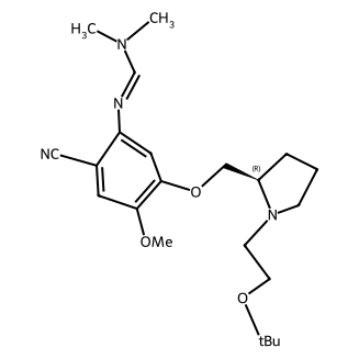 COc1cc(C#N)c(N=CN(C)C)cc1OC[C@H]1CCCN1CCOC(C)(C)C